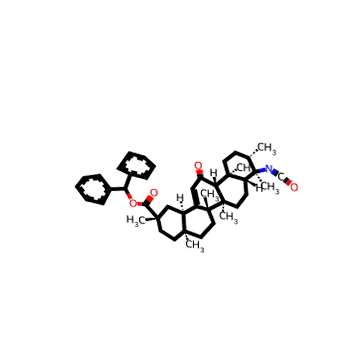 C[C@H]1CC[C@@]2(C)[C@@H](CC[C@]3(C)[C@@H]2C(=O)C=C2[C@@H]4C[C@@](C)(C(=O)OC(c5ccccc5)c5ccccc5)CC[C@]4(C)CC[C@]23C)[C@]1(C)N=C=O